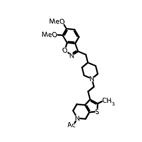 COc1ccc2c(CC3CCN(CCc4c(C)sc5c4CCN(C(C)=O)C5)CC3)noc2c1OC